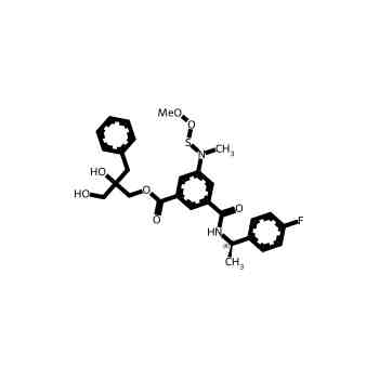 COOSN(C)c1cc(C(=O)N[C@H](C)c2ccc(F)cc2)cc(C(=O)OCC(O)(CO)Cc2ccccc2)c1